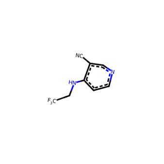 N#Cc1cnccc1NCC(F)(F)F